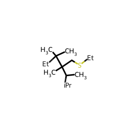 CCSCC(C)(C(C)C(C)C)C(C)(C)CC